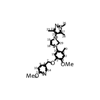 [CH2]c1cc(OC)c(OCc2ccc(OC)nc2)cc1N1C=CN(c2c(C)nn(C)c2C)C1